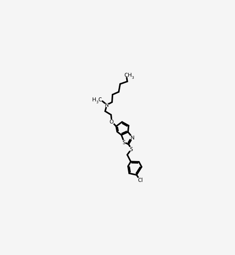 CCCCCCN(C)CCOc1ccc2nc(SCc3ccc(Cl)cc3)sc2c1